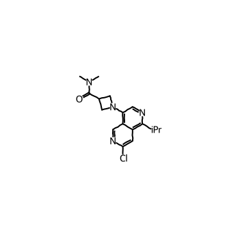 CC(C)c1ncc(N2CC(C(=O)N(C)C)C2)c2cnc(Cl)cc12